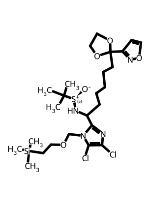 CC(C)(C)[S@@+]([O-])NC(CCCCCC1(c2ccon2)OCCO1)c1nc(Cl)c(Cl)n1COCC[Si](C)(C)C